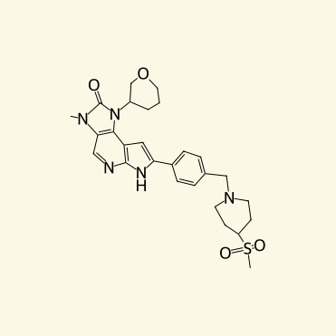 Cn1c(=O)n(C2CCCOC2)c2c3cc(-c4ccc(CN5CCC(S(C)(=O)=O)CC5)cc4)[nH]c3ncc21